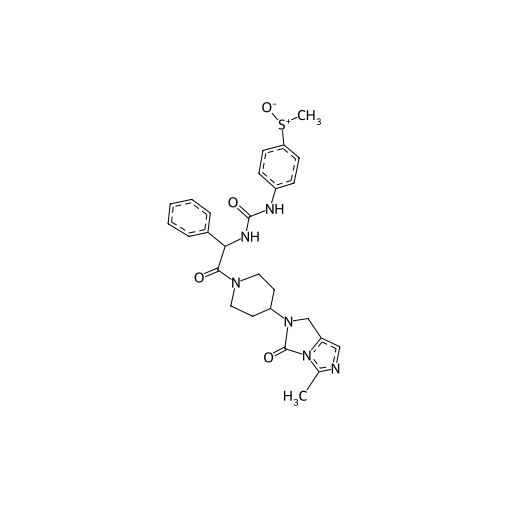 Cc1ncc2n1C(=O)N(C1CCN(C(=O)C(NC(=O)Nc3ccc([S+](C)[O-])cc3)c3ccccc3)CC1)C2